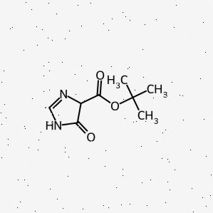 CC(C)(C)OC(=O)C1N=[C]NC1=O